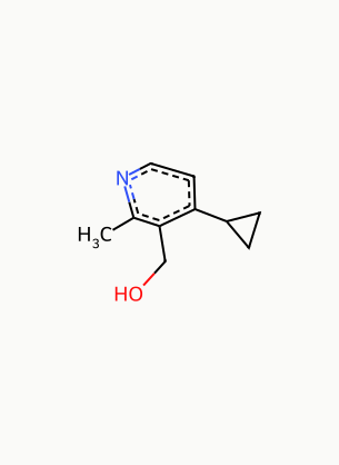 Cc1nccc(C2CC2)c1CO